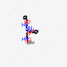 CC(C)(C)OC(=O)NCCCC[C@@H](CNCCNC(=O)OCc1ccccc1)NC(=O)OCc1ccccc1